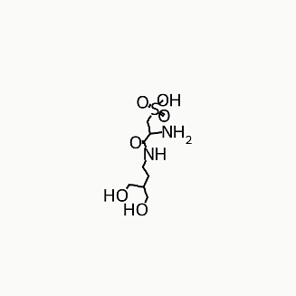 NC(CS(=O)(=O)O)C(=O)NCCC(CO)CO